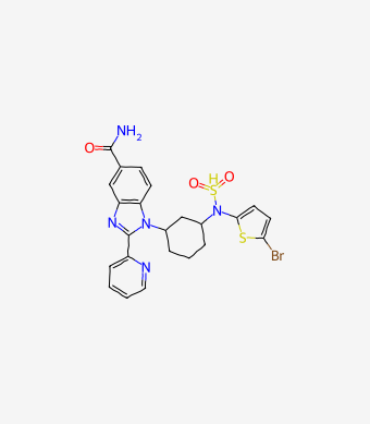 NC(=O)c1ccc2c(c1)nc(-c1ccccn1)n2C1CCCC(N(c2ccc(Br)s2)[SH](=O)=O)C1